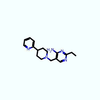 CCc1ncc(CN2CCC(c3ccccn3)CC2)c(N)n1